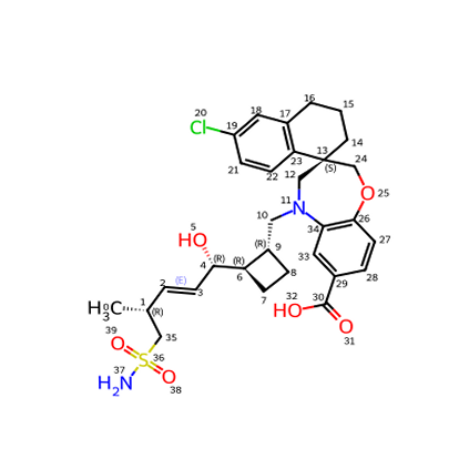 C[C@H](/C=C/[C@H](O)[C@@H]1CC[C@H]1CN1C[C@@]2(CCCc3cc(Cl)ccc32)COc2ccc(C(=O)O)cc21)CS(N)(=O)=O